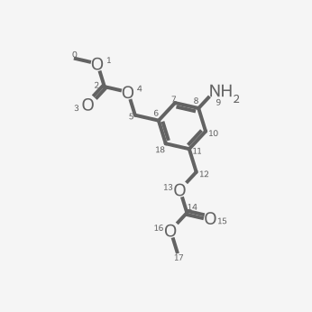 COC(=O)OCc1cc(N)cc(COC(=O)OC)c1